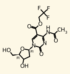 CC(=O)Nc1nc(=O)n([C@H]2CC(O)[C@@H](CO)O2)cc1C(=O)OCC(F)(F)F